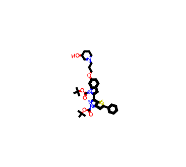 CC(C)(C)OC(=O)n1nc(-c2cc3ccc(OCCCN4CCCC(O)C4)cc3n2C(=O)OC(C)(C)C)c2sc(-c3ccccc3)cc21